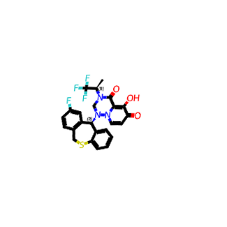 C[C@@H](N1CN([C@@H]2c3cc(F)ccc3CSc3ccccc32)n2ccc(=O)c(O)c2C1=O)C(F)(F)F